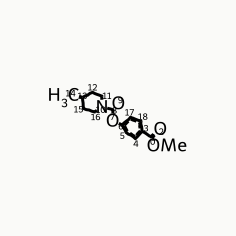 COC(=O)c1ccc(OC(=O)N2CCC(C)CC2)cc1